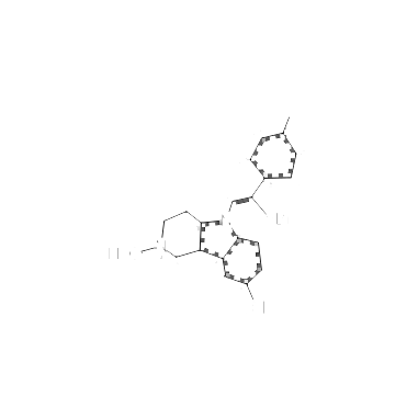 CCCCC(=Cn1c2c(c3cc(Cl)ccc31)CN(C)CC2)c1ccc(F)cc1